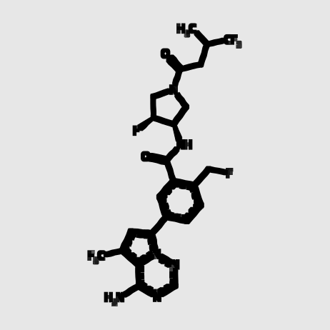 CC(CC(=O)N1C[C@H](F)[C@H](NC(=O)c2cc(-c3cc(C(F)(F)F)c4c(N)ncnn34)ccc2CF)C1)C(F)(F)F